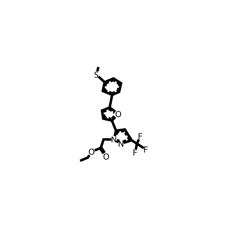 CCOC(=O)Cn1nc(C(F)(F)F)cc1-c1ccc(-c2cccc(SC)c2)o1